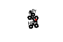 CCCOc1cccc([Si](Cn2ccnc2BC(c2ccccc2)c2ccccc2)(c2ccccc2)c2ccccc2)c1